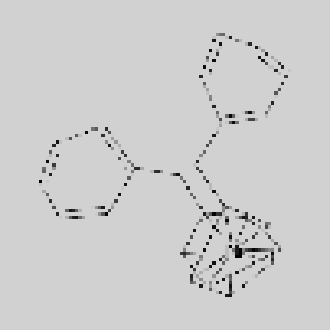 c1ccc(C[C]23[CH]4[CH]5[CH]6[CH]2[Ni]56432789[CH]3[CH]2[CH]7[C]8(Cc2ccccc2)[CH]39)cc1